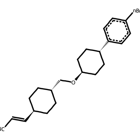 CCCCc1ccc([C@H]2CC[C@H](OC[C@H]3CC[C@H](C=CC#N)CC3)CC2)cc1